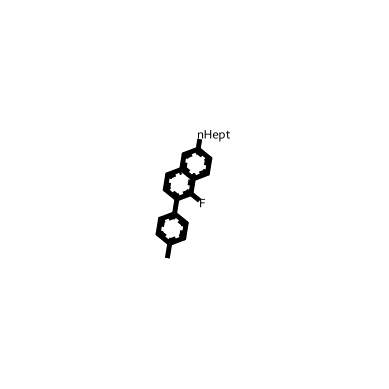 CCCCCCCc1ccc2c(F)c(-c3ccc(C)cc3)ccc2c1